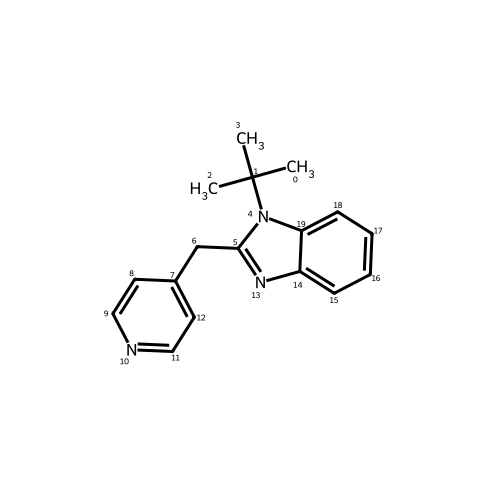 CC(C)(C)n1c(Cc2ccncc2)nc2ccccc21